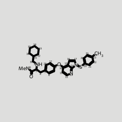 CNC(=O)C(Cc1ccc(Oc2ccnc3c2ccn3Sc2ccc(C)cc2)cc1)NCC1CCCCC1